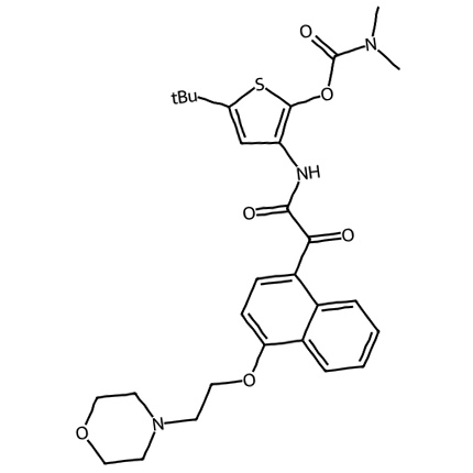 CN(C)C(=O)Oc1sc(C(C)(C)C)cc1NC(=O)C(=O)c1ccc(OCCN2CCOCC2)c2ccccc12